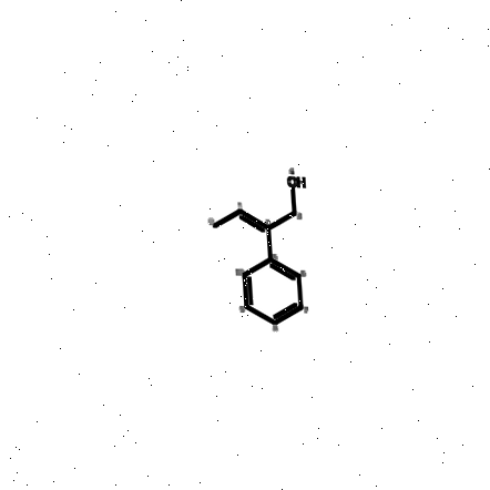 C/C=C(/CO)c1ccccc1